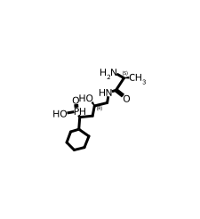 C[C@H](N)C(=O)NC[C@H](O)CC(C1CCCCC1)[PH](=O)O